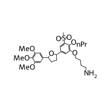 CCCOc1c(OCCCCN)cc(C2CCC(c3cc(OC)c(OC)c(OC)c3)O2)cc1S(C)(=O)=O